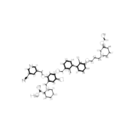 Cc1c(COc2cc(OCc3cncc(C#N)c3)c(CN3CCCC[C@H]3C(=O)O)cc2Cl)cccc1-c1cccc(OCCCN2CCC[C@H](OC=O)C2)c1C